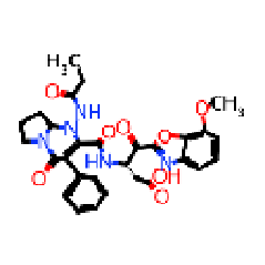 CCC(=O)NN1C(C(=O)N[C@@H](CC(=O)O)C(=O)c2nc3cccc(OC)c3o2)=C(c2ccccc2)C(=O)N2CCCC21